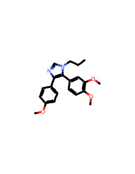 CCCn1cnc(-c2ccc(OC)cc2)c1-c1ccc(OC)c(OC)c1